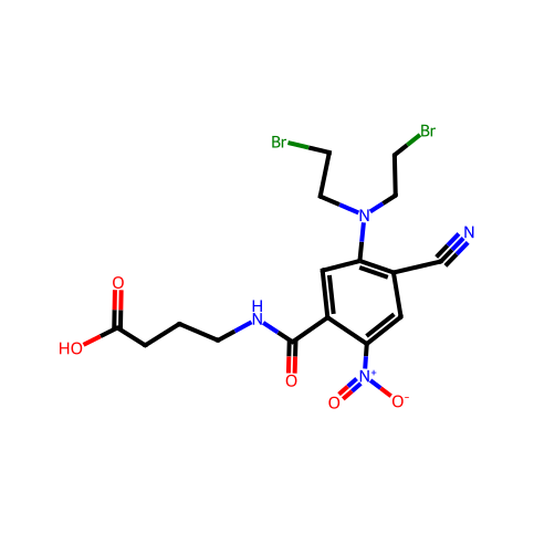 N#Cc1cc([N+](=O)[O-])c(C(=O)NCCCC(=O)O)cc1N(CCBr)CCBr